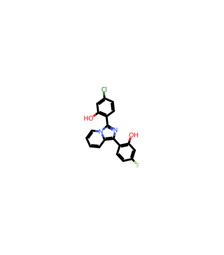 Oc1cc(F)ccc1-c1nc(-c2ccc(Cl)cc2O)n2ccccc12